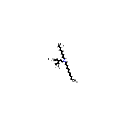 CCCCCCCCCCCN(CCCCCCCCC)CCC(CCC)CCC